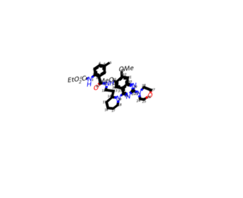 CCOC(=O)Nc1ccc(C)cc1C(=O)NCCC1CCCCN1c1nc(N2CCOCC2)nc2cc(OC)c(OC)cc12